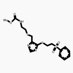 CC(C)(C)OC(=O)NCCSCc1ncsc1SCCS(=O)(=O)c1ccccc1